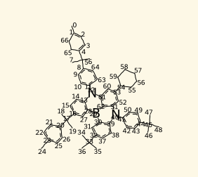 CC1=CC=C(C(C)(C)c2ccc(N3c4ccc(C(C)(C)c5ccc(C)cc5)cc4B4c5cc(C(C)(C)C)ccc5N(c5ccc(C(C)(C)C)cc5)c5cc(C6CCCCC6)cc3c54)cc2)CC1